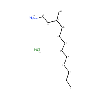 CCCCCCCCCC(C)CCN.Cl